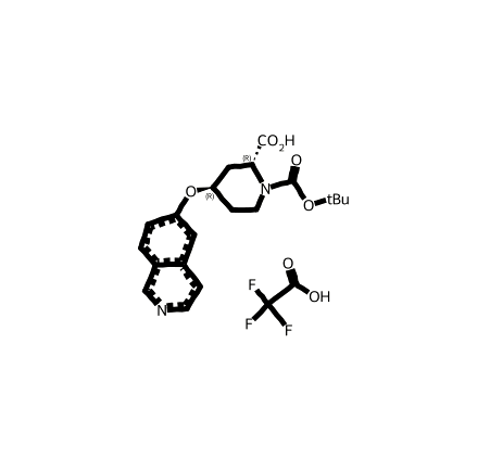 CC(C)(C)OC(=O)N1CC[C@@H](Oc2ccc3cnccc3c2)C[C@@H]1C(=O)O.O=C(O)C(F)(F)F